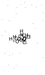 CC(=O)OOc1ccc(Cl)cc1Cl.CNC